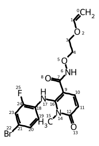 C=COCCONC(=O)c1ccc(=O)n(C)c1Nc1ccc(Br)cc1F